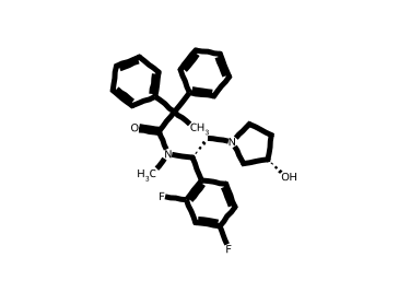 CN(C(=O)C(C)(c1ccccc1)c1ccccc1)[C@H](CN1CC[C@H](O)C1)c1ccc(F)cc1F